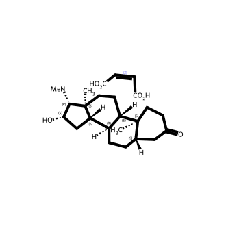 CN[C@H]1[C@@H](O)C[C@H]2[C@@H]3CC[C@H]4CC(=O)CC[C@]4(C)[C@H]3CC[C@@]21C.O=C(O)/C=C\C(=O)O